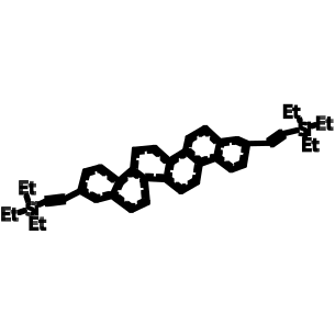 CC[Si](C#Cc1ccc2c(ccc3c2ccc2c4ccc5cc(C#C[Si](CC)(CC)CC)ccc5c4ccc32)c1)(CC)CC